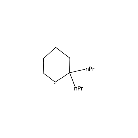 CCCC1(CCC)[C]CCCC1